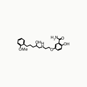 COc1ccccc1CCCC(O)CNCCOc1ccc(O)c(C(N)=O)c1